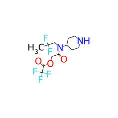 CC(F)(F)CN(C(=O)COC(=O)C(F)(F)F)C1CCNCC1